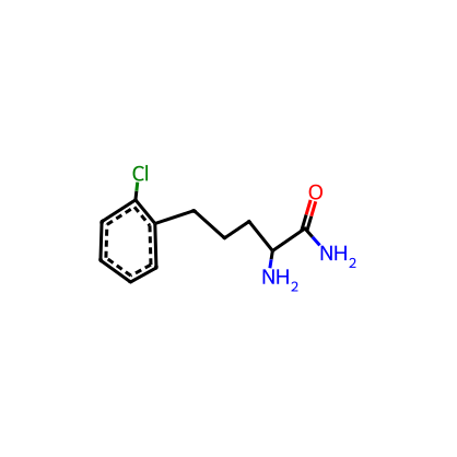 NC(=O)C(N)CCCc1ccccc1Cl